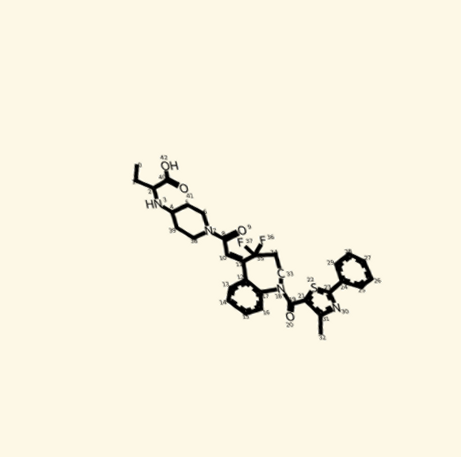 CCC(NC1CCN(C(=O)C=C2c3ccccc3N(C(=O)c3sc(-c4ccccc4)nc3C)CCC2(F)F)CC1)C(=O)O